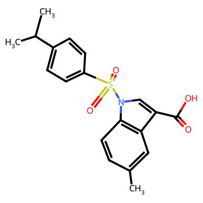 Cc1ccc2c(c1)c(C(=O)O)cn2S(=O)(=O)c1ccc(C(C)C)cc1